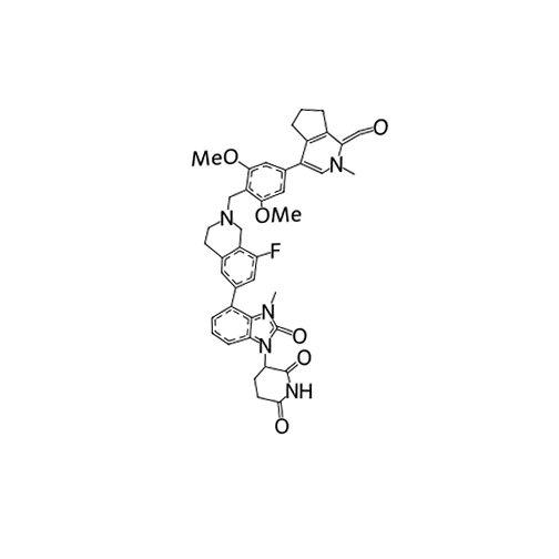 COc1cc(C2=CN(C)C(=C=O)C3=C2CCC3)cc(OC)c1CN1CCc2cc(-c3cccc4c3n(C)c(=O)n4C3CCC(=O)NC3=O)cc(F)c2C1